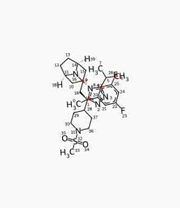 Cc1nnc(C(C)C)n1[C@@H]1C[C@H]2CC[C@@H](C1)N2CC[C@@H](c1cc(F)cc(F)c1)C1CCN(S(C)(=O)=O)CC1